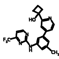 Cc1cc(Nc2nccc(C(F)(F)F)n2)cc(-c2ccnc(C3(O)CCC3)c2)c1